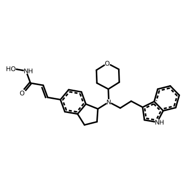 O=C(/C=C/c1ccc2c(c1)CCC2N(CCc1c[nH]c2ccccc12)C1CCOCC1)NO